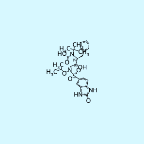 CC(C)ON(C[C@@H](O)[C@H](Cc1ccccc1)N(C(=O)O)C(C)(C)C)S(=O)(=O)c1ccc2[nH]c(=O)[nH]c2c1